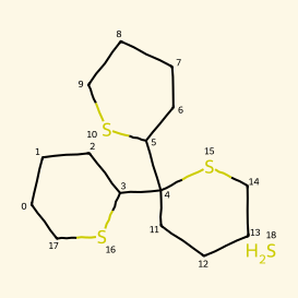 C1CCC(C2(C3CCCCS3)CCCCS2)SC1.S